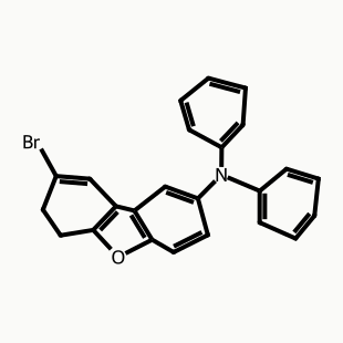 BrC1=Cc2c(oc3ccc(N(c4ccccc4)c4ccccc4)cc23)CC1